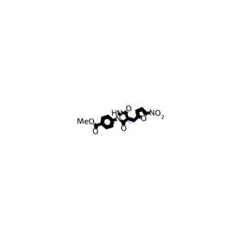 COC(=O)c1ccc(N2NC(=O)/C(=C\c3ccc([N+](=O)[O-])o3)C2=O)cc1